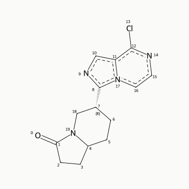 O=C1CCC2CC[C@@H](c3ncc4c(Cl)nccn34)CN12